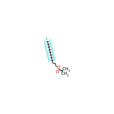 C=C(C)C(=O)OCCCC(F)(F)C(F)(F)C(F)(F)C(F)(F)C(F)(F)C(F)(F)C(F)(F)C(F)(F)F